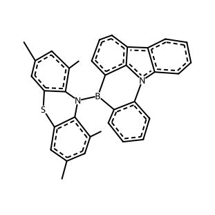 Cc1cc(C)c2c(c1)Sc1cc(C)cc(C)c1N2B1c2ccccc2-n2c3ccccc3c3cccc1c32